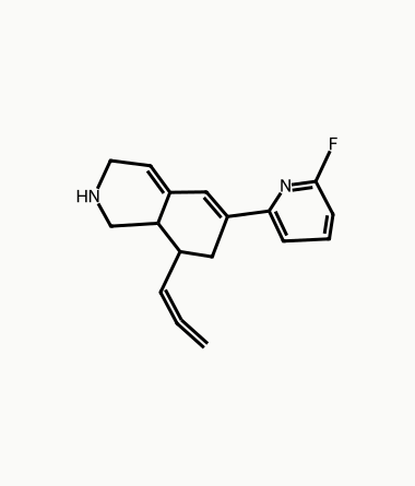 C=C=CC1CC(c2cccc(F)n2)=CC2=CCNCC21